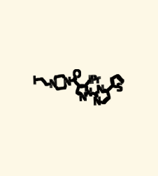 CC(C)c1c(C(=O)N2CCN(CCI)CC2)cnn1-c1nccc(-c2cccs2)n1